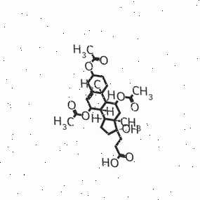 CC(=O)OC1CC[C@@]2(C)C(=CC(OC(C)=O)[C@@H]3[C@@H]2C(OC(C)=O)C[C@@]2(C)[C@H]3CC[C@]2(O)CCC(=O)O)C1